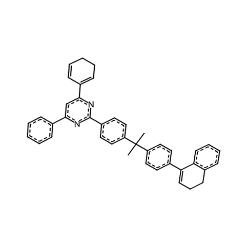 CC(C)(c1ccc(C2=CCCc3ccccc32)cc1)c1ccc(-c2nc(C3=CCCC=C3)cc(-c3ccccc3)n2)cc1